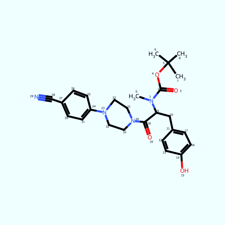 CN(C(=O)OC(C)(C)C)C(Cc1ccc(O)cc1)C(=O)N1CCN(c2ccc(C#N)cc2)CC1